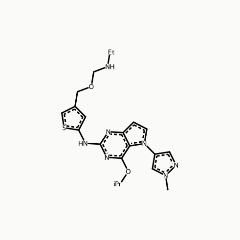 CCNCOCc1csc(Nc2nc(OC(C)C)c3c(ccn3-c3cnn(C)c3)n2)c1